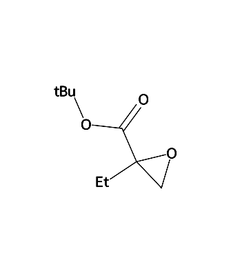 CCC1(C(=O)OC(C)(C)C)CO1